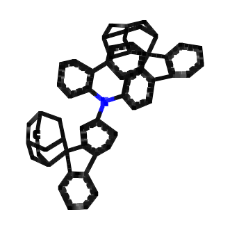 c1ccc(-c2ccccc2N(c2ccc3c(c2)C2(c4ccccc4-3)C3CCC4CC(C3)CC2C4)c2ccc3c(c2)C2(c4ccccc4-3)C3CC4CC(C3)CC2C4)cc1